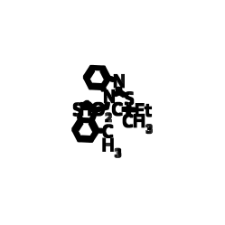 CCC(C)(Sc1nc2ccccc2n1Cc1csc2cccc(C)c12)C(=O)O